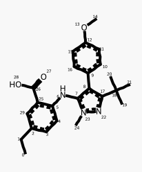 CCc1ccc(Nc2c(-c3ccc(OC)cc3)c(C(C)(C)C)nn2C)c(C(=O)O)c1